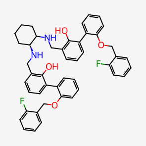 Oc1c(CNC2CCCC[C@@H]2NCc2cccc(-c3ccccc3OCc3ccccc3F)c2O)cccc1-c1ccccc1OCc1ccccc1F